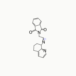 O=C1c2ccccc2C(=O)N1C/C=N\C1CCCc2cccnc21